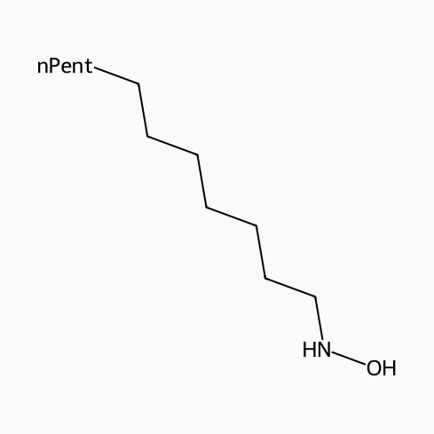 CCCCCCCCCCCCNO